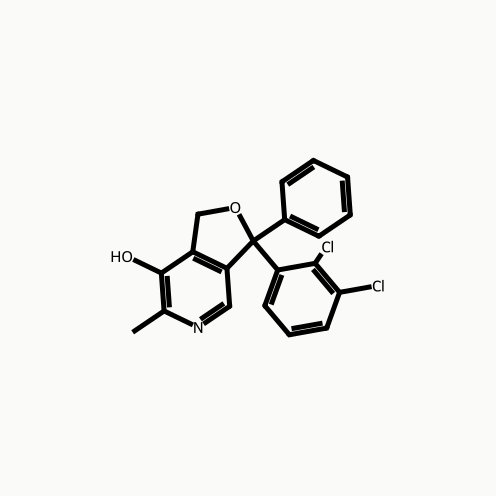 Cc1ncc2c(c1O)COC2(c1ccccc1)c1cccc(Cl)c1Cl